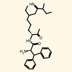 CCC(CCC[C@H](NC(=O)[C@H](N)C(c1ccccc1)c1ccccc1)C(C)=O)CC(=N)C(C)CC